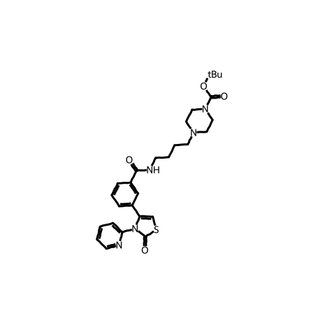 CC(C)(C)OC(=O)N1CCN(CCCCNC(=O)c2cccc(-c3csc(=O)n3-c3ccccn3)c2)CC1